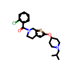 CC(C)CN1CCC(Oc2cc3c(s2)CN(C(=O)c2ccccc2Cl)CC3)CC1